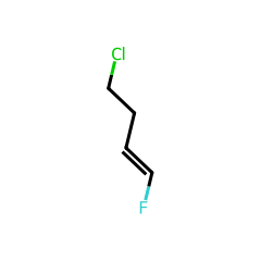 FC=CCCCl